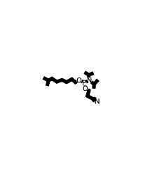 CC(C)CCCCCCOP(OCCC#N)N(C(C)C)C(C)C